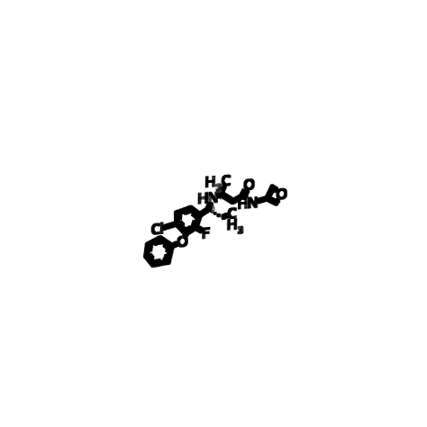 CC[C@@H](N[C@@H](C)CC(=O)NC1COC1)c1ccc(Cl)c(Oc2ccccc2)c1F